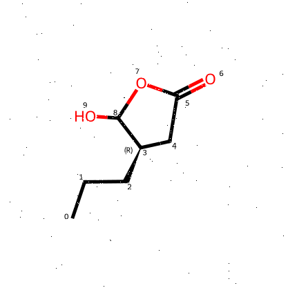 CCC[C@@H]1CC(=O)OC1O